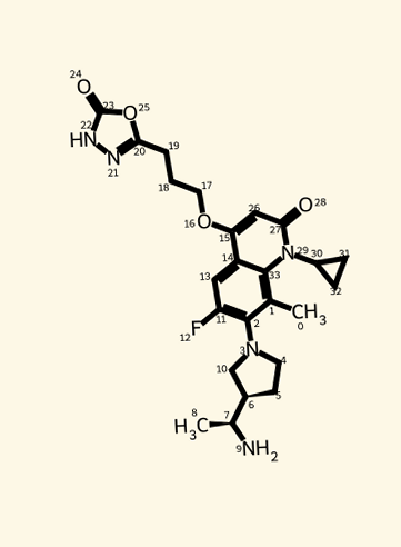 Cc1c(N2CC[C@@H]([C@H](C)N)C2)c(F)cc2c(OCCCc3n[nH]c(=O)o3)cc(=O)n(C3CC3)c12